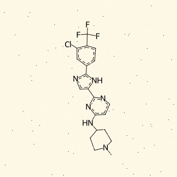 CN1CCC(Nc2ccnc(-c3cnc(-c4ccc(C(F)(F)F)c(Cl)c4)[nH]3)n2)CC1